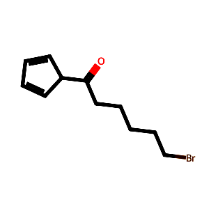 O=C(CCCCCBr)C1C=CC=C1